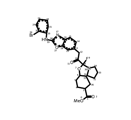 COC(=O)C1CCC(OC(F)(C(=O)Cc2ccc3nc(Nc4ccccc4Br)oc3c2)N2CCCC2)CC1